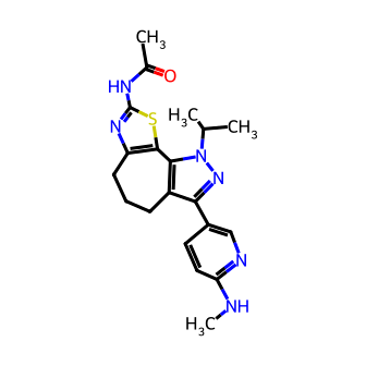 CNc1ccc(-c2nn(C(C)C)c3c2CCCc2nc(NC(C)=O)sc2-3)cn1